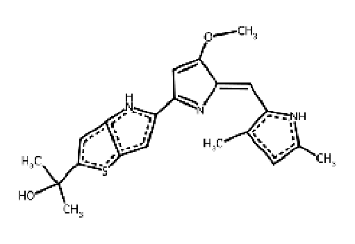 COC1=CC(c2cc3sc(C(C)(C)O)cc3[nH]2)=NC1=Cc1[nH]c(C)cc1C